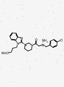 COCCCn1c([C@@H]2CCCN(C(=O)C[C@H](N)Cc3ccc(Cl)cc3)C2)nc2ccccc21